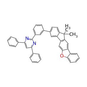 CC1(C)c2ccc(-c3cccc(-c4nc(-c5ccccc5)cc(-c5ccccc5)n4)c3)cc2-c2cc3oc4ccccc4c3cc21